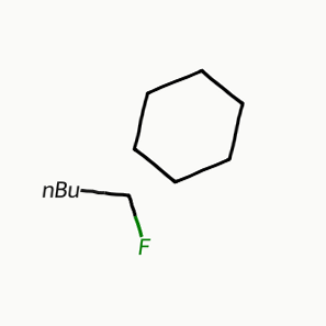 C1CCCCC1.CCCCCF